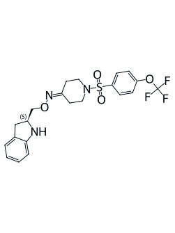 O=S(=O)(c1ccc(OC(F)(F)F)cc1)N1CCC(=NOC[C@@H]2Cc3ccccc3N2)CC1